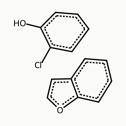 Oc1ccccc1Cl.c1ccc2occc2c1